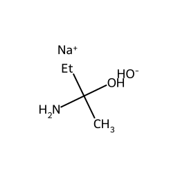 CCC(C)(N)O.[Na+].[OH-]